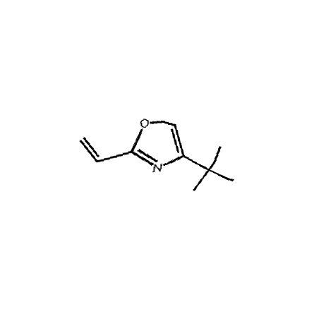 C=Cc1nc(C(C)(C)C)co1